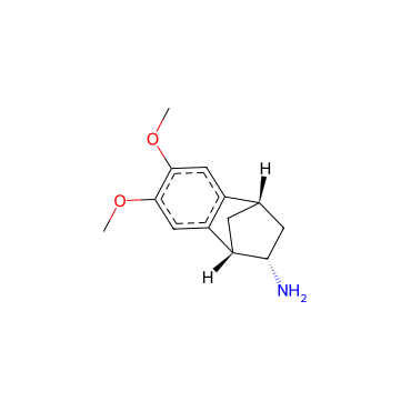 COc1cc2c(cc1OC)[C@@H]1C[C@H]2C[C@@H]1N